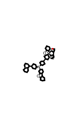 c1ccc2c(c1)Oc1cc(-c3ccc(N(c4ccc(-c5cccc6ccccc56)cc4)c4ccc5c(c4)oc4ccccc45)cc3)ccc1[Si]21c2ccccc2-c2ccccc21